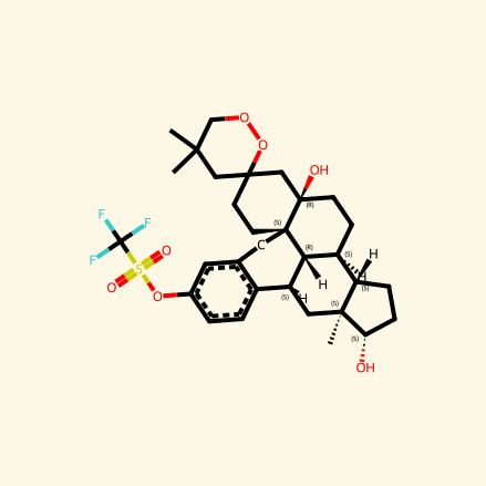 CC1(C)COOC2(CC[C@@]34Cc5cc(OS(=O)(=O)C(F)(F)F)ccc5[C@H]5C[C@]6(C)[C@@H](O)CC[C@H]6[C@H](CC[C@@]3(O)C2)[C@H]54)C1